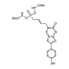 CCCc1ccc(-c2cc3cn(C/C=C/CP(=O)(OPOC)OPOC)c(=O)nc3o2)cc1